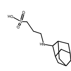 O=S(=O)(O)CCCNC1C2CC3CC(C2)CC1C3